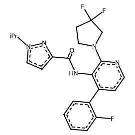 CC(C)n1ccc(C(=O)Nc2c(-c3ccccc3F)ccnc2N2CCC(F)(F)C2)n1